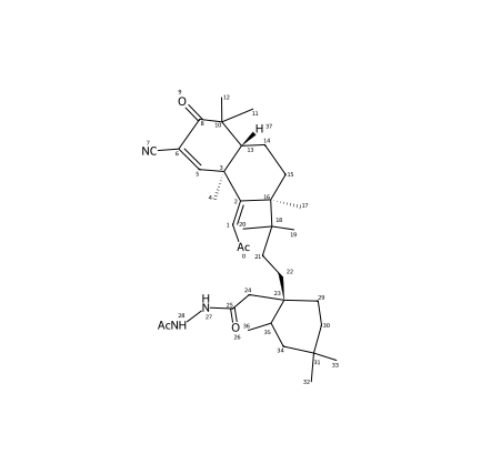 CC(=O)/C=C1/[C@@]2(C)C=C(C#N)C(=O)C(C)(C)[C@@H]2CC[C@@]1(C)C(C)(C)CC[C@@]1(CC(=O)NNC(C)=O)CCC(C)(C)CC1C